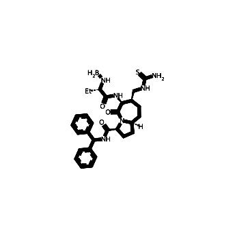 BN[C@@H](CC)C(=O)N[C@@H]1C(=O)N2[C@@H](CC[C@@H]1CNC(N)=S)CC[C@H]2C(=O)NC(c1ccccc1)c1ccccc1